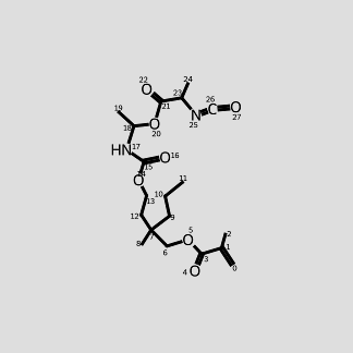 C=C(C)C(=O)OCC(C)(CCC)CCOC(=O)NC(C)OC(=O)C(C)N=C=O